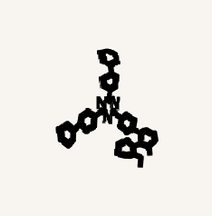 CCc1ccccc1-c1c(C)cccc1-c1ccc(-c2nc(-c3ccc(C4=CCCC=C4)cc3)nc(-c3ccc(-c4ccccc4)cc3)n2)cc1